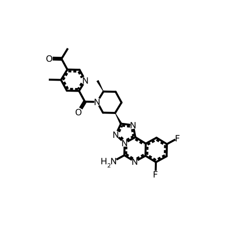 CC(=O)c1cnc(C(=O)N2C[C@H](c3nc4c5cc(F)cc(F)c5nc(N)n4n3)CC[C@@H]2C)cc1C